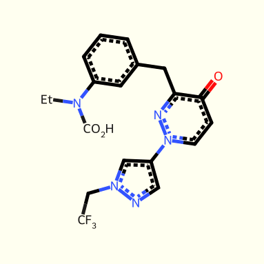 CCN(C(=O)O)c1cccc(Cc2nn(-c3cnn(CC(F)(F)F)c3)ccc2=O)c1